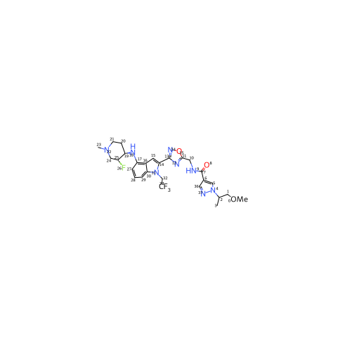 COCC(C)n1cc(C(=O)NCc2nc(-c3cc4c(N[C@@H]5CCN(C)C[C@@H]5F)cccc4n3CC(F)(F)F)no2)cn1